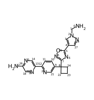 NCn1cc(-c2nc(C3(c4ccc(-c5cnc(N)cn5)nc4)CCC3)no2)cn1